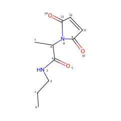 CCCNC(=O)C(C)N1C(=O)C=CC1=O